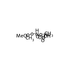 COc1ccc(-c2ccc(CCNC(=O)c3ccc4c(c3O)C3CC(=O)CC[C@@]3(O)[C@H](N(C)CC3CC3)C4)cc2)cc1C